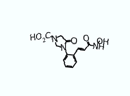 O=C(C=Cc1ccccc1N1CN(C(=O)O)CC1=O)NO